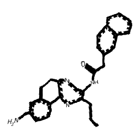 CCCc1nc2c(nc1NC(=O)Cc1ccc3ccccc3c1)CCc1cc(N)ccc1-2